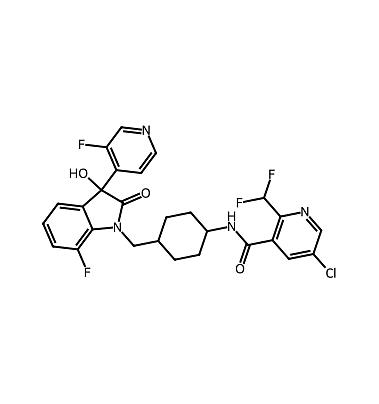 O=C(NC1CCC(CN2C(=O)C(O)(c3ccncc3F)c3cccc(F)c32)CC1)c1cc(Cl)cnc1C(F)F